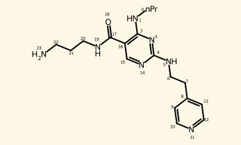 CCCNc1nc(NCCc2ccncc2)ncc1C(=O)NCCCN